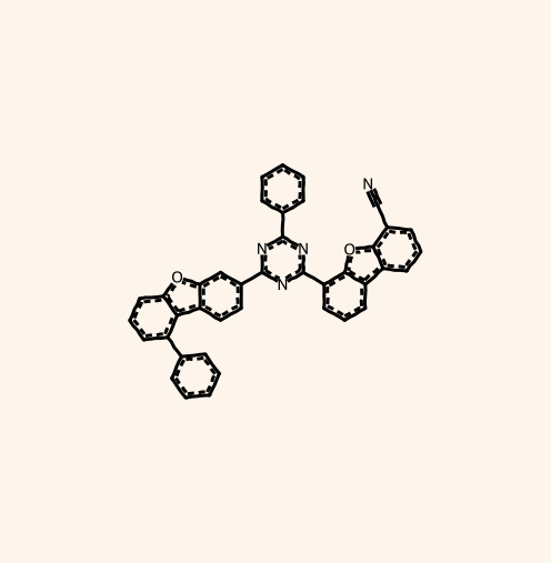 N#Cc1cccc2c1oc1c(-c3nc(-c4ccccc4)nc(-c4ccc5c(c4)oc4cccc(-c6ccccc6)c45)n3)cccc12